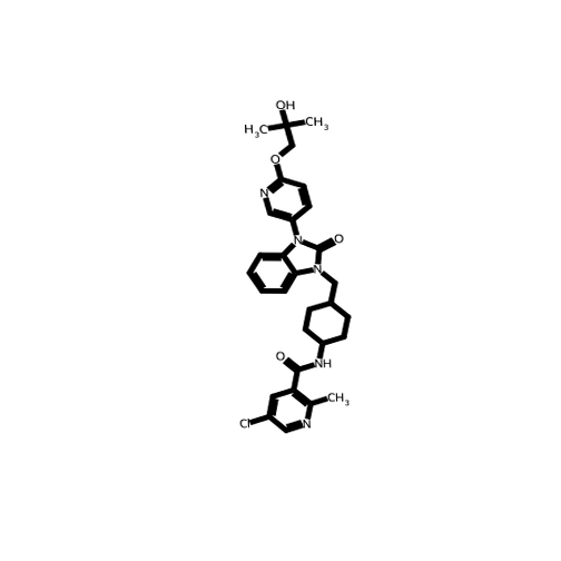 Cc1ncc(Cl)cc1C(=O)NC1CCC(Cn2c(=O)n(-c3ccc(OCC(C)(C)O)nc3)c3ccccc32)CC1